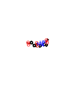 COC(=O)c1cccc(-c2ccc(C)c(S(=O)(=O)Nc3cccc(N(CCNC(=O)OC(C)(C)C)Cc4ccccc4)c3)c2)c1